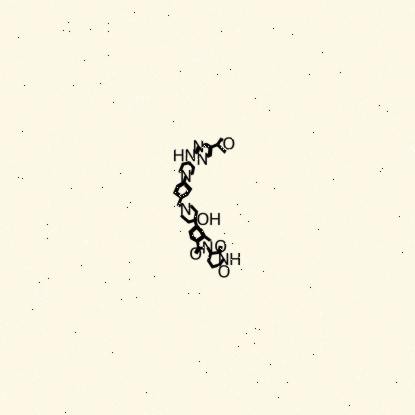 O=C1CCC(N2Cc3cc(C4(O)CCN(Cc5ccc(N6CCC(Nc7ncc(C8COC8)cn7)CC6)cc5)CC4)ccc3C2=O)C(=O)N1